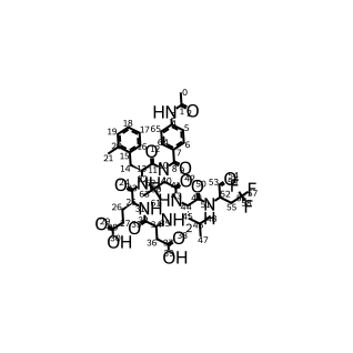 CC(=O)Nc1ccc(C(=O)N(C(=O)[C@H](Cc2ccccc2C)NC(=O)[C@H](CCC(=O)O)NC(=O)[C@@H](N)CC(=O)O)[C@H](C(=O)N[C@@H](CC(C)C)C(=O)NC(C=O)CC(F)(F)F)C(C)(C)C)cc1